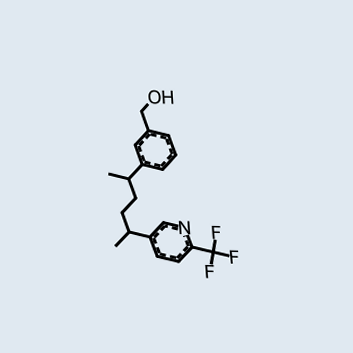 CC(CCC(C)c1cccc(CO)c1)c1ccc(C(F)(F)F)nc1